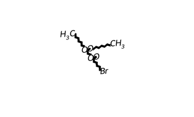 CCCCCCCCOC(CCOC(=O)CCCCCBr)OCCCCCCCC